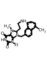 CCn1c2c(c(=O)[nH]c1=O)N(C)C(CCN)N2Cc1ccc2c(C)cccc2c1